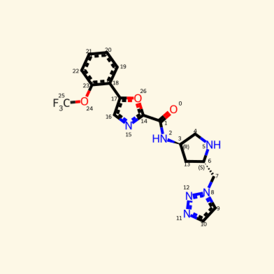 O=C(N[C@H]1CN[C@H](Cn2ccnn2)C1)c1ncc(-c2ccccc2OC(F)(F)F)o1